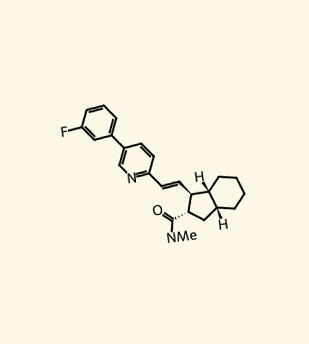 CNC(=O)[C@H]1C[C@H]2CCCC[C@H]2[C@@H]1/C=C/c1ccc(-c2cccc(F)c2)cn1